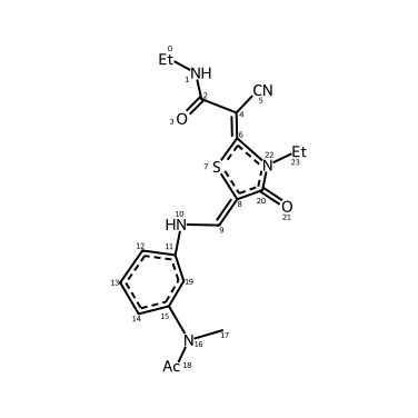 CCNC(=O)C(C#N)=c1sc(=CNc2cccc(N(C)C(C)=O)c2)c(=O)n1CC